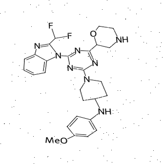 COc1ccc(NC2CCN(c3nc(C4CNCCO4)nc(-n4c(C(F)F)nc5ccccc54)n3)CC2)cc1